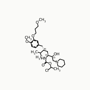 COCCCOc1cc(C[C@H](C[C@H](NC(=O)OC(C)Cl)[C@@H](O)CN2CCCCC2)C(C)C)ccc1OC